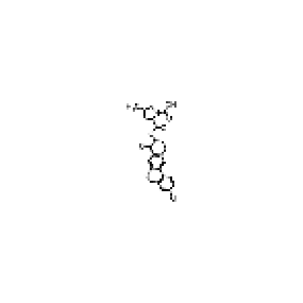 CC1CC(C(=O)OC2CCc3cc4c(cc3C2=O)OCc2cc(Cl)ccc2-4)N(C(=O)O)C1